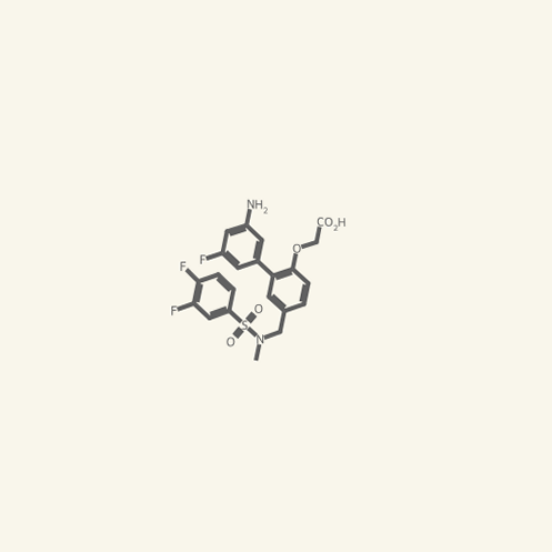 CN(Cc1ccc(OCC(=O)O)c(-c2cc(N)cc(F)c2)c1)S(=O)(=O)c1ccc(F)c(F)c1